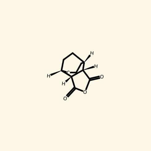 O=C1OC(=O)[C@H]2[C@@H]3CCC[C@@H](CC3)[C@@H]12